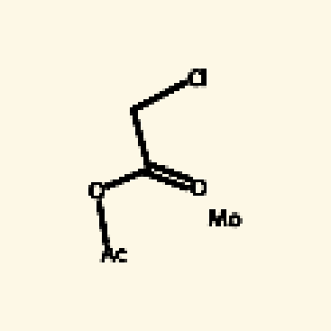 CC(=O)OC(=O)CCl.[Mo]